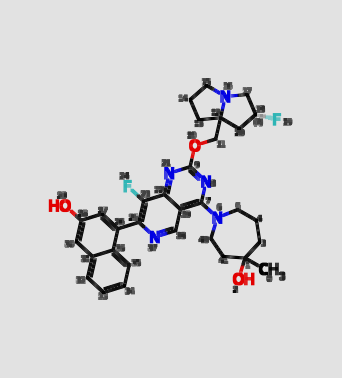 CC1(O)CCCN(c2nc(OCC34CCCN3C[C@H](F)C4)nc3c(F)c(-c4cc(O)cc5ccccc45)ncc23)CC1